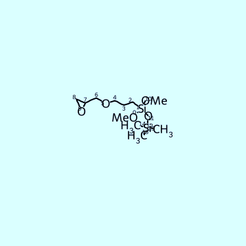 CO[Si](CCCOCC1CO1)(OC)O[Si](C)(C)C